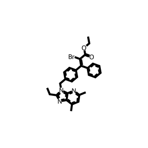 CCOC(=O)C(Br)=C(c1ccccc1)c1ccc(Cn2c(CC)nc3c(C)cc(C)nc32)cc1